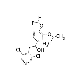 CC(C)Oc1cc([C@@H](O)Cc2c(Cl)cncc2Cl)ccc1OC(F)F